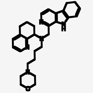 C1=Cc2[nH]c3c(CN(CCCCN4CCOCC4)C4CCCc5cccnc54)nccc3c2CC1